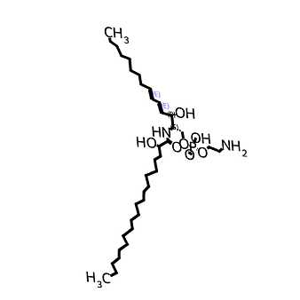 CCCCCCCC/C=C/C=C/[C@@H](O)[C@H](COP(=O)(O)OCCN)NC(=O)C(O)CCCCCCCCCCCCCCCCCC